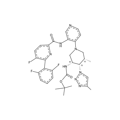 Cc1cn([C@H]2[C@@H](C)CN(c3ccncc3NC(=O)c3ccc(F)c(-c4c(F)cccc4F)n3)C[C@H]2NC(=O)OC(C)(C)C)nn1